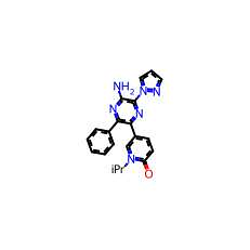 CC(C)n1cc(-c2nc(-n3cccn3)c(N)nc2-c2ccccc2)ccc1=O